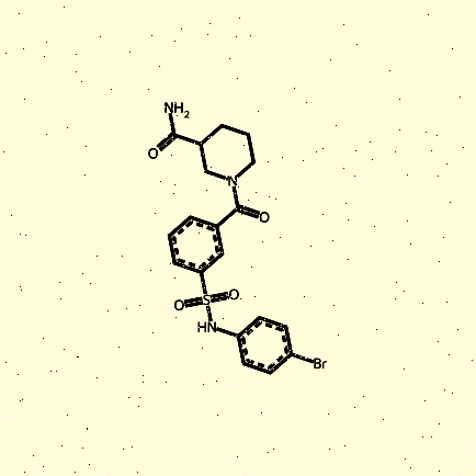 NC(=O)C1CCCN(C(=O)c2cccc(S(=O)(=O)Nc3ccc(Br)cc3)c2)C1